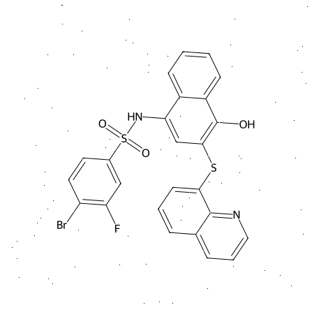 O=S(=O)(Nc1cc(Sc2cccc3cccnc23)c(O)c2ccccc12)c1ccc(Br)c(F)c1